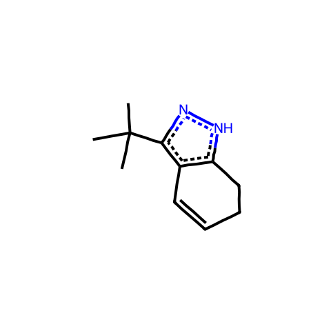 CC(C)(C)c1n[nH]c2c1C=CCC2